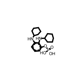 O=P(O)(O)Oc1cccc(NC2CCCCC2)c1NC1CCCCC1